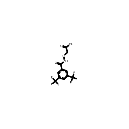 O=C(O)CONC(=O)c1cc(C(F)(F)F)cc(C(F)(F)F)c1